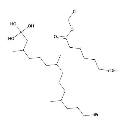 CC(C)CCCC(C)CCCC(C)CCCC(C)CC(O)(O)O.CCCCCCCCCCCCCCCC(=O)OCCl